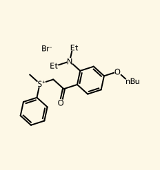 CCCCOc1ccc(C(=O)C[S+](C)c2ccccc2)c(N(CC)CC)c1.[Br-]